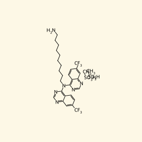 CS(=O)(=O)O.CS(=O)(=O)O.NCCCCCCCCCCN(c1ncnc2cc(C(F)(F)F)ccc12)c1ncnc2cc(C(F)(F)F)ccc12